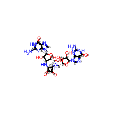 Nc1nc2c(ncn2[C@@H]2O[C@H](CNc3c(N[C@@H]4C(O)[C@H](n5cnc6c(=O)[nH]c(N)nc65)O[C@@H]4CO)c(=O)c3=O)[C@H](O)C2O)c(=O)[nH]1